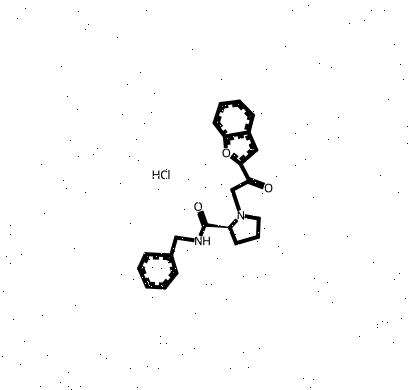 Cl.O=C(CN1CCC[C@H]1C(=O)NCc1ccccc1)c1cc2ccccc2o1